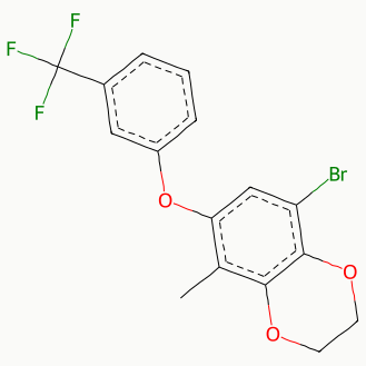 Cc1c(Oc2cccc(C(F)(F)F)c2)cc(Br)c2c1OCCO2